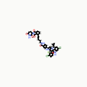 O=C1CCC(N2C(=O)c3cccc(C#CCCCNC(=O)c4ccc([C@H]5C[C@H]6[C@@H](N5)[C@H](c5cccc(Cl)c5F)[C@]5(C(=O)Nc7cc(Cl)ccc75)N6CC5CC5)cc4)c3C2=O)C(=O)N1